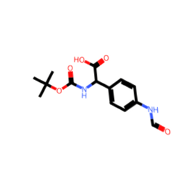 CC(C)(C)OC(=O)NC(C(=O)O)c1ccc(NC=O)cc1